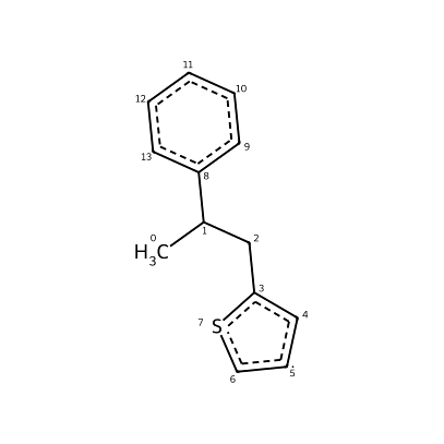 CC(Cc1c[c]cs1)c1ccccc1